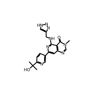 Cn1cnc2cc(-c3ccc(C(C)(C)O)nc3)nc(NCc3c[nH]nn3)c2c1=O